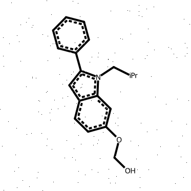 CC(C)Cn1c(-c2ccccc2)cc2ccc(OCO)cc21